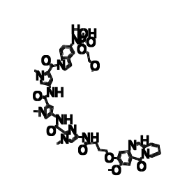 COCCOP(=O)(O)Nc1ccc2c(ccn2C(=O)c2cc(NC(=O)c3cc(NC(=O)c4nc(NC(=O)CCCOc5cc6c(cc5OC)C(=O)N5C=CC=C[C@H]5C=N6)cn4C)cn3C)cn2C)c1